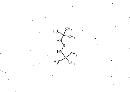 CC(C)(C)NSNC(C)(C)C